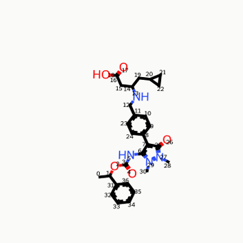 CC(OC(=O)Nc1c(-c2ccc(CNC(CC(=O)O)CC3CC3)cc2)c(=O)n(C)n1C)c1ccccc1